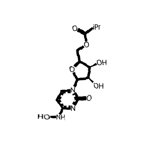 CC(C)C(=O)OCC1OC(n2ccc(NO)nc2=O)[C@H](O)[C@@H]1O